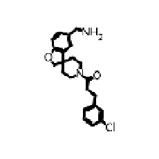 NCc1ccc2c(c1)C1(CCN(C(=O)CCc3cccc(Cl)c3)CC1)CO2